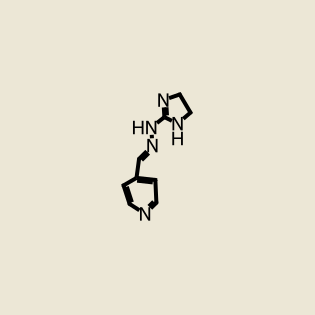 C(=NNC1=NCCN1)c1ccncc1